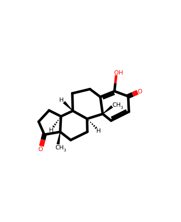 C[C@]12C=CC(=O)C(O)=C1CC[C@@H]1[C@@H]2CC[C@]2(C)C(=O)CC[C@@H]12